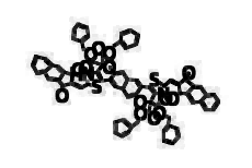 O=C1C(=Cc2nc3c(s2)C2=CC4C=C5OC(C(=O)OCc6ccccc6)(C(=O)OCc6ccccc6)C6=C(SC(C=C7C(=O)c8cc9ccccc9cc8C7=O)N6)C5=CC4C=C2OC3(C(=O)OCc2ccccc2)C(=O)OCc2ccccc2)C(=O)c2cc3ccccc3cc21